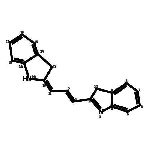 C(=CC1=Nc2ccccc2C1)C=C1Cc2ccccc2N1